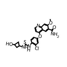 COc1cc2nccc(Oc3ccc(NC(=S)NC4CC(O)C4)c(Cl)c3)c2cc1C(N)=O